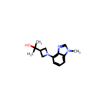 Cn1cnc2c(N3CC(C(C)(C)O)C3)cccc21